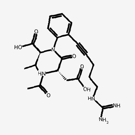 CC(=O)N[C@@H](CC(=O)O)C(=O)N(c1ccccc1C#CCCCNC(=N)N)[C@H](C(=O)O)C(C)C